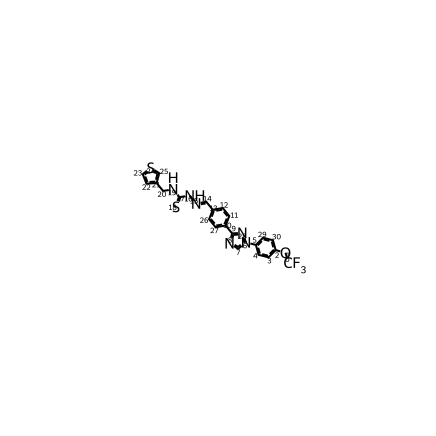 FC(F)(F)Oc1ccc(-n2cnc(-c3ccc(/C=N/NC(=S)NCc4ccsc4)cc3)n2)cc1